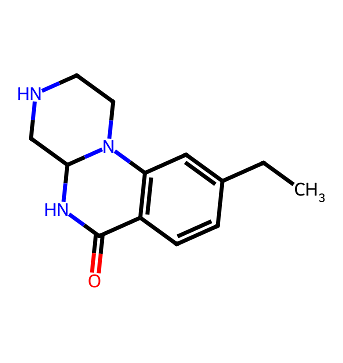 CCc1ccc2c(c1)N1CCNCC1NC2=O